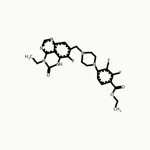 CCOC(=O)c1ccc(N2CCN(Cc3cc4ncnc5c4c(c3F)NC(=O)N5CC)CC2)c(F)c1F